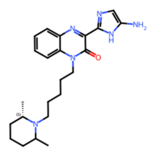 CC1CCC[C@H](C)N1CCCCCn1c(=O)c(-c2ncc(N)[nH]2)nc2ccccc21